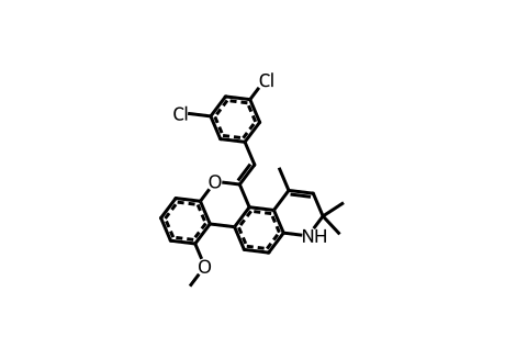 COc1cccc2c1-c1ccc3c(c1C(=Cc1cc(Cl)cc(Cl)c1)O2)C(C)=CC(C)(C)N3